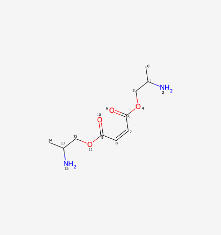 CC(N)COC(=O)/C=C\C(=O)OCC(C)N